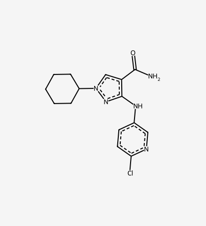 NC(=O)c1cn(C2CCCCC2)nc1Nc1ccc(Cl)nc1